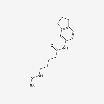 CC(C)(C)SNCCCCC(=O)Nc1ccc2c(c1)CCC2